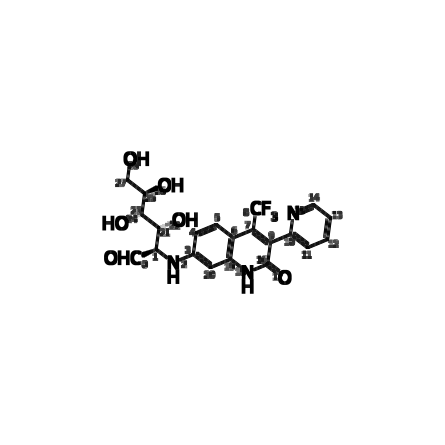 O=C[C@H](Nc1ccc2c(C(F)(F)F)c(-c3ccccn3)c(=O)[nH]c2c1)[C@@H](O)[C@H](O)[C@H](O)CO